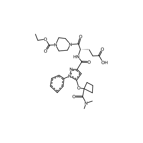 CCOC(=O)N1CCN(C(=O)[C@H](CCC(=O)O)NC(=O)c2cc(OC3(C(=O)N(C)C)CCC3)n(-c3ccccc3)n2)CC1